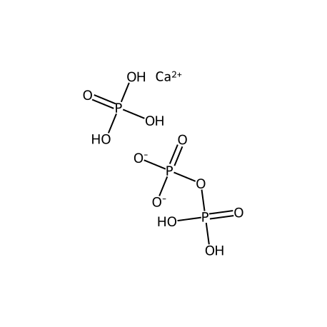 O=P(O)(O)O.O=P([O-])([O-])OP(=O)(O)O.[Ca+2]